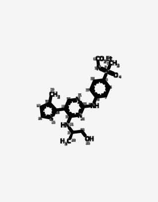 CCOC(=O)N=S(C)(=O)c1ccc(Nc2ncc(-c3sccc3C)c(N[C@H](C)CO)n2)cc1